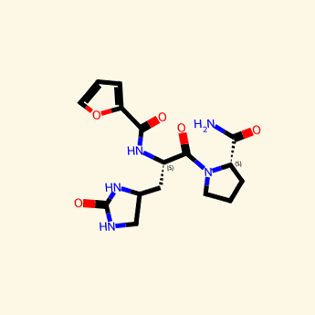 NC(=O)[C@@H]1CCCN1C(=O)[C@H](CC1CNC(=O)N1)NC(=O)c1ccco1